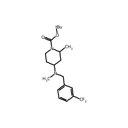 CC1CC(N(C)Cc2cccc(C(F)(F)F)c2)CCN1C(=O)OC(C)(C)C